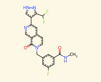 CNC(=O)c1cc(F)cc(Cn2ccc3cc(-c4c[nH]nc4C(F)F)ncc3c2=O)c1